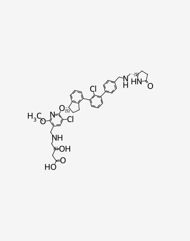 COc1nc(O[C@H]2CCc3c(-c4cccc(-c5ccc(CNC[C@@H]6CCC(=O)N6)cc5)c4Cl)cccc32)c(Cl)cc1CNC[C@@H](O)CC(=O)O